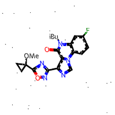 CCC(C)n1c(=O)c2c(-c3noc(C4(OC)CC4)n3)ncn2c2ccc(F)cc21